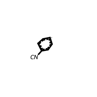 [C-]#[N+]c1cc[c]cc1